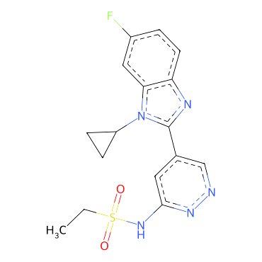 CCS(=O)(=O)Nc1cc(-c2nc3ccc(F)cc3n2C2CC2)cnn1